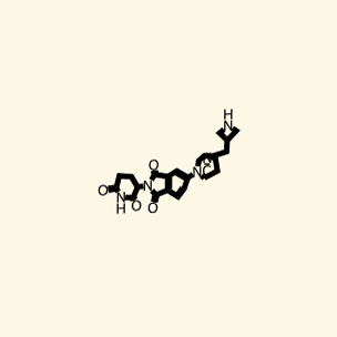 O=C1CCC(N2C(=O)c3ccc(N4CC5CCC4CN5CC4CNC4)cc3C2=O)C(=O)N1